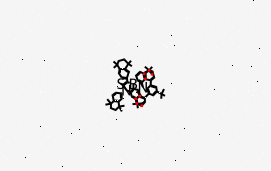 CC(C)(C)c1cc(-c2ccccc2)c(N2c3cc(C(C)(C)C)ccc3B3c4c(cc(C(C)(C)C)cc42)N(c2ccc4c(c2)C(C)(C)CCC4(C)C)c2sc4cc5c(cc4c23)C(C)(C)CCC5(C)C)c(-c2ccccc2)c1